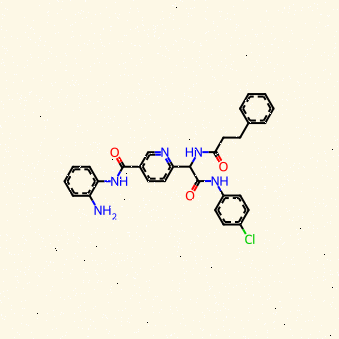 Nc1ccccc1NC(=O)c1ccc(C(NC(=O)CCc2ccccc2)C(=O)Nc2ccc(Cl)cc2)nc1